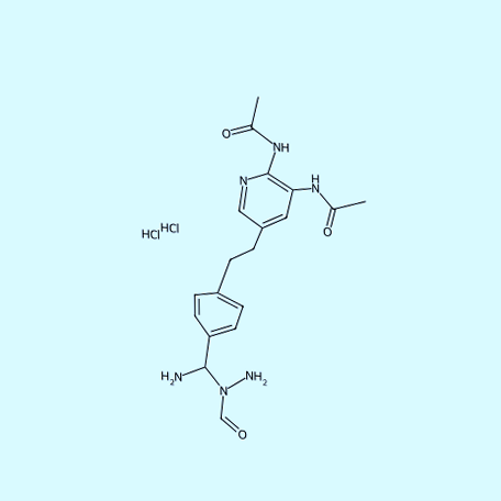 CC(=O)Nc1cc(CCc2ccc(C(N)N(N)C=O)cc2)cnc1NC(C)=O.Cl.Cl